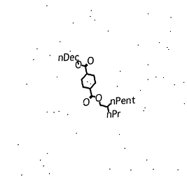 CCCCCCCCCCOC(=O)C1CCC(C(=O)OCC(CCC)CCCCC)CC1